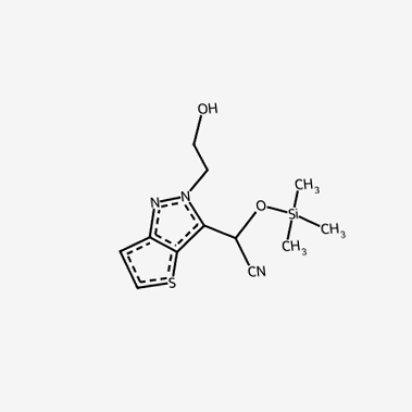 C[Si](C)(C)OC(C#N)c1c2sccc2nn1CCO